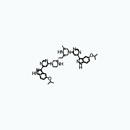 CC(C)Oc1ccc2[nH]nc(-c3cc(N4CCN[C@@H](CC[C@@H]5CN(c6cc(-c7n[nH]c8ccc(OC(C)C)cc78)ncn6)C[C@H](C)N5)C4)ncn3)c2c1